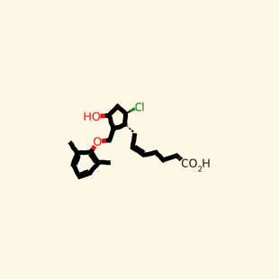 Cc1cccc(C)c1OCC1C(O)C[C@@H](Cl)[C@@H]1C/C=C\CCCC(=O)O